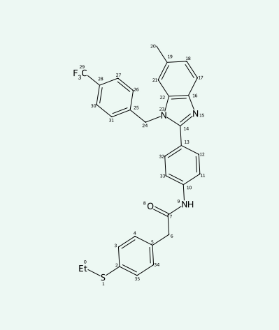 CCSc1ccc(CC(=O)Nc2ccc(-c3nc4ccc(C)cc4n3Cc3ccc(C(F)(F)F)cc3)cc2)cc1